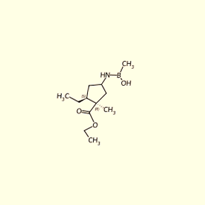 CCOC(=O)[C@]1(C)CC(NB(C)O)C[C@@H]1CC